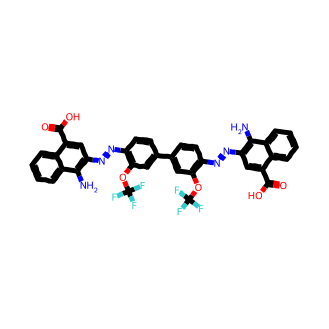 Nc1c(/N=N/c2ccc(-c3ccc(/N=N/c4cc(C(=O)O)c5ccccc5c4N)c(OC(F)(F)F)c3)cc2OC(F)(F)F)cc(C(=O)O)c2ccccc12